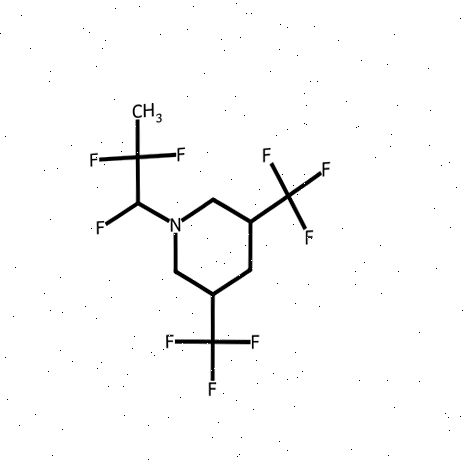 CC(F)(F)C(F)N1CC(C(F)(F)F)CC(C(F)(F)F)C1